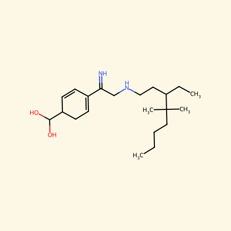 CCCCC(C)(C)C(CC)CCNCC(=N)C1=CCC(C(O)O)C=C1